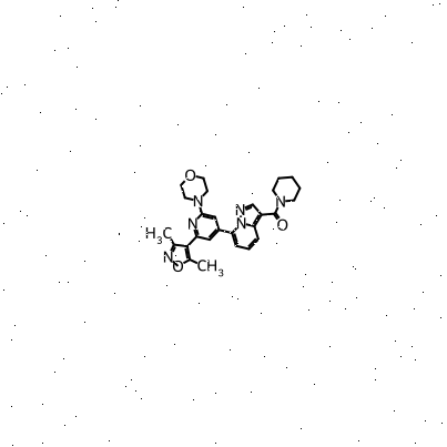 Cc1noc(C)c1-c1cc(-c2cccc3c(C(=O)N4CCCCC4)cnn23)cc(N2CCOCC2)n1